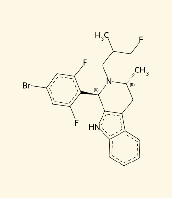 CC(CF)CN1[C@H](c2c(F)cc(Br)cc2F)c2[nH]c3ccccc3c2C[C@H]1C